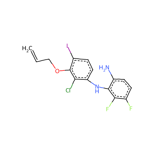 C=CCOc1c(I)ccc(Nc2c(N)ccc(F)c2F)c1Cl